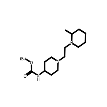 CC1CCCCN1CCN1CCC(NC(=O)OC(C)(C)C)CC1